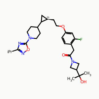 CC(C)c1noc(N2CCC(C3C[C@H]3CCOc3ccc(CC(=O)N4CC(C(C)(C)O)C4)c(F)c3)CC2)n1